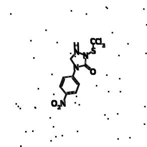 O=C1N(SC(Cl)(Cl)Cl)NCN1c1ccc([N+](=O)[O-])cc1